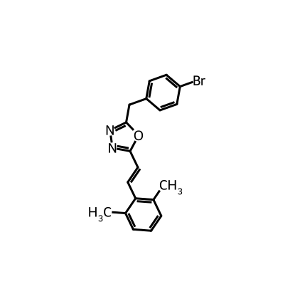 Cc1cccc(C)c1/C=C/c1nnc(Cc2ccc(Br)cc2)o1